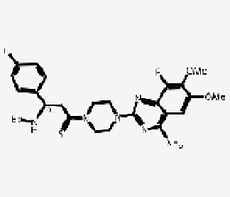 CCN[C@H](CC(=S)N1CCN(c2nc(N)c3cc(OC)c(OC)c(F)c3n2)CC1)c1ccc(F)cc1